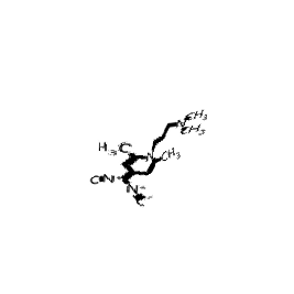 [C-]#[N+]C([N+]#[C-])=C1C=C(C)N(CCCN(C)C)C(C)=C1